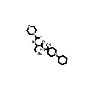 CC(C)(C)CC(NC(=O)N1CCOCC1)C(=O)NC1(C#N)CCN(C2CCCCC2)CC1